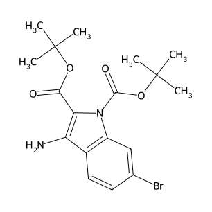 CC(C)(C)OC(=O)c1c(N)c2ccc(Br)cc2n1C(=O)OC(C)(C)C